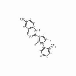 Cc1cc(C(=O)Nc2ccc(Cl)cc2F)c(C)n1-c1ccccc1C(F)(F)F